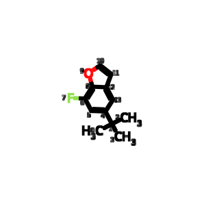 CC(C)(C)c1cc(F)c2occc2c1